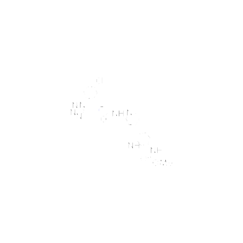 COC(=O)Nc1ccc2c(c1)NCCCCC[C@H](NC(=O)/C=C/c1cc(Cl)ccc1-n1cnnn1)c1cc-2ccn1